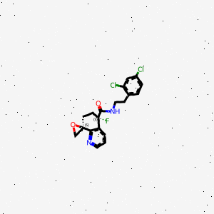 O=C(NCCc1ccc(Cl)cc1Cl)[C@]1(F)CC[C@@]2(CO2)c2ncccc21